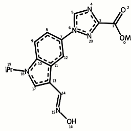 COC(=O)c1ncn(-c2ccc3c(c2)c(C=NO)cn3C(C)C)n1